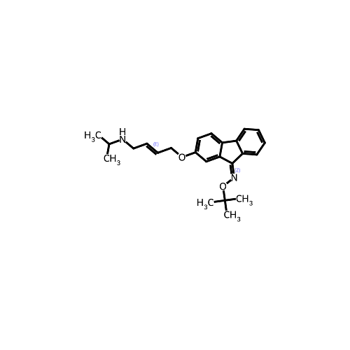 CC(C)NC/C=C/COc1ccc2c(c1)/C(=N\OC(C)(C)C)c1ccccc1-2